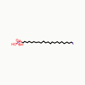 O=P(O)(O)OCCCCCCCCCCCCCCCCCCCCCCI